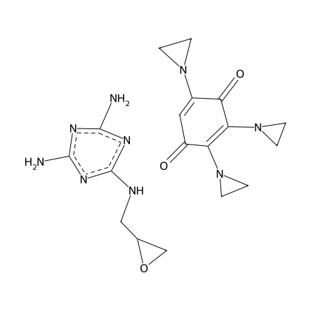 Nc1nc(N)nc(NCC2CO2)n1.O=C1C=C(N2CC2)C(=O)C(N2CC2)=C1N1CC1